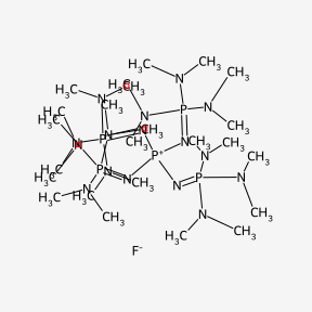 CN(C)P(=N[P+](N=P(N(C)C)(N(C)C)N(C)C)(N=P(N(C)C)(N(C)C)N(C)C)N=P(N(C)C)(N(C)C)N(C)C)(N(C)C)N(C)C.[F-]